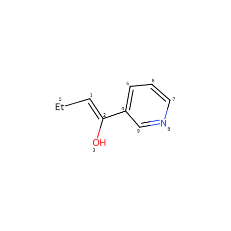 CC/C=C(\O)c1cccnc1